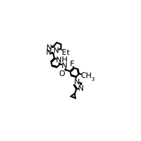 CC[C@@H]1CCc2nnc(-c3cccc(NC(=O)c4cc(-n5cnc(C6CC6)c5)c(C)cc4F)n3)n21